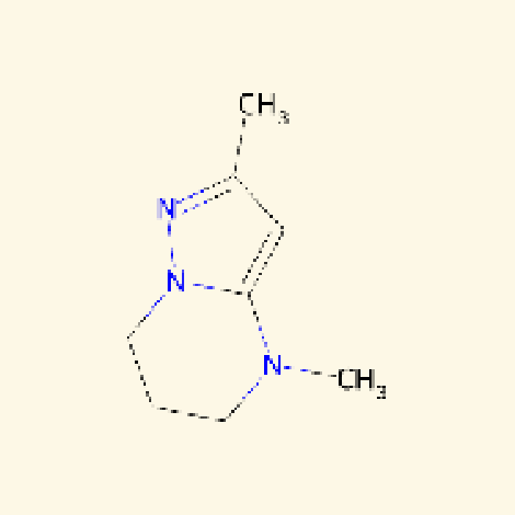 Cc1cc2n(n1)CCCN2C